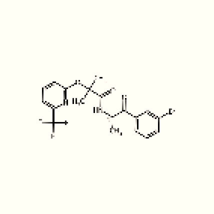 C[C@H](NC(=O)C(C)(C)Oc1cccc(C(F)(F)F)n1)C(=O)c1cccc(Br)c1